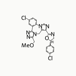 COCc1nnc2n1Cc1c(C3=NC[C@@H](c4ccc(Cl)cc4)O3)ncn1-c1ccc(Cl)cc1-2